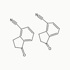 N#Cc1cccc2c1CCC2=O.N#Cc1cccc2c1CCC2=O